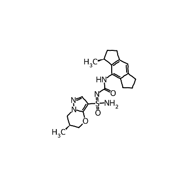 C[C@@H]1COc2c(S(N)(=O)=NC(=O)Nc3c4c(cc5c3[C@@H](C)CC5)CCC4)cnn2C1